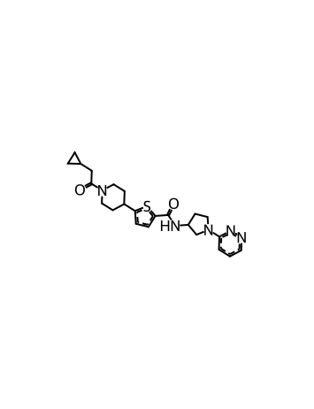 O=C(NC1CCN(c2cccnn2)C1)c1ccc(C2CCN(C(=O)CC3CC3)CC2)s1